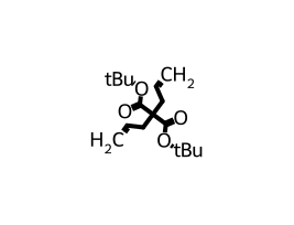 C=CCC(CC=C)(C(=O)OC(C)(C)C)C(=O)OC(C)(C)C